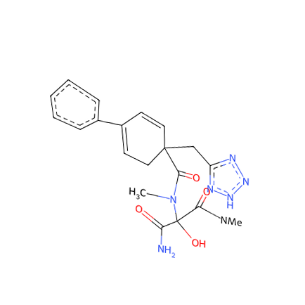 CNC(=O)C(O)(C(N)=O)N(C)C(=O)C1(Cc2nn[nH]n2)C=CC(c2ccccc2)=CC1